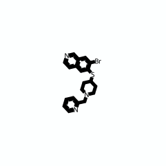 Brc1cc2cnccc2cc1SC1CCN(Cc2ccccn2)CC1